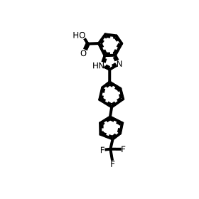 O=C(O)c1cccc2nc(-c3ccc(-c4ccc(C(F)(F)F)cc4)cc3)[nH]c12